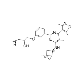 CNCC(O)COc1cccc(-c2nc(N[C@@H]3C[C@]4(C)CC34)c(C)c(-c3c(C)noc3C)n2)c1